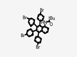 CC(C)(C)C(=O)Nc1cccc2c(-c3ccc(Br)cc3)c(-c3ccc(Br)cc3)c(-c3ccc(Br)cc3)c(-c3ccc(Br)cc3)c12